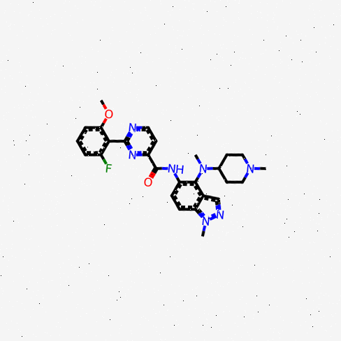 COc1cccc(F)c1-c1nccc(C(=O)Nc2ccc3c(cnn3C)c2N(C)C2CCN(C)CC2)n1